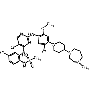 COc1cc(N2CCC(N3CCCN(C)CC3)CC2)c(Cl)cc1Nc1ncc(Cl)c(Nc2cc(Cl)ccc2NS(C)(=O)=O)n1